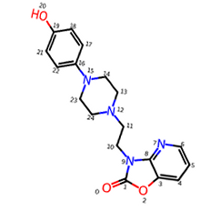 O=c1oc2cccnc2n1CCN1CCN(c2ccc(O)cc2)CC1